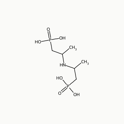 CC(CP(=O)(O)O)NC(C)CP(=O)(O)O